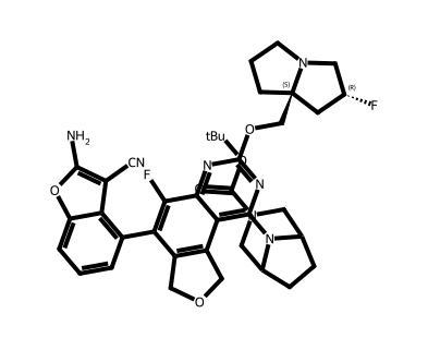 CC(C)(C)OC(=O)N1CC2CCC(C1)N2c1nc(OC[C@@]23CCCN2C[C@H](F)C3)nc2c(F)c(-c3cccc4oc(N)c(C#N)c34)c3c(c12)COC3